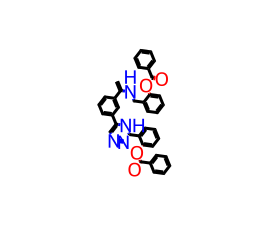 C=C(NCc1ccccc1OC(=O)c1ccccc1)c1cccc(C2=CN=NC(c3ccccc3OC(=O)c3ccccc3)N2)c1